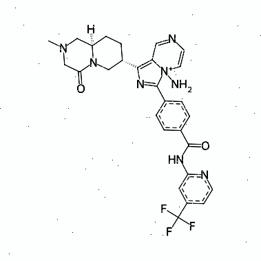 CN1CC(=O)N2C[C@@H](C3=C4C=NC=C[N+]4(N)C(c4ccc(C(=O)Nc5cc(C(F)(F)F)ccn5)cc4)=N3)CC[C@@H]2C1